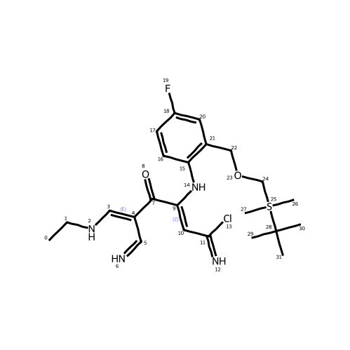 CCN/C=C(\C=N)C(=O)/C(=C/C(=N)Cl)Nc1ccc(F)cc1COCS(C)(C)C(C)(C)C